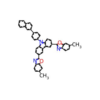 Cc1ccc2nc(-c3ccc4c(c3)c3cc(-c5nc6ccc(C)cc6o5)ccc3n4-c3ccc(-c4ccc5ccccc5c4)cc3)oc2c1